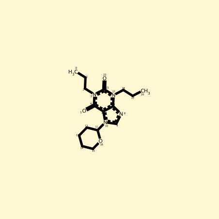 CCCn1c(=O)c2c(ncn2C2CCCCO2)n(CCC)c1=O